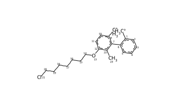 Cc1ccccc1-c1c(C)ccc(OCCCCCCCCl)c1C